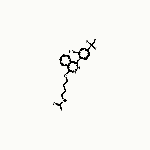 CC(=O)NCCCCOc1nnc(-c2ccc(C(F)(F)F)cc2O)c2ccccc12